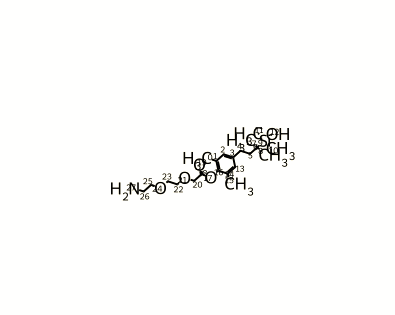 Cc1cc(CCC(C)(C)[Si](C)(C)O)cc(C)c1OC(=O)COCCOCCN